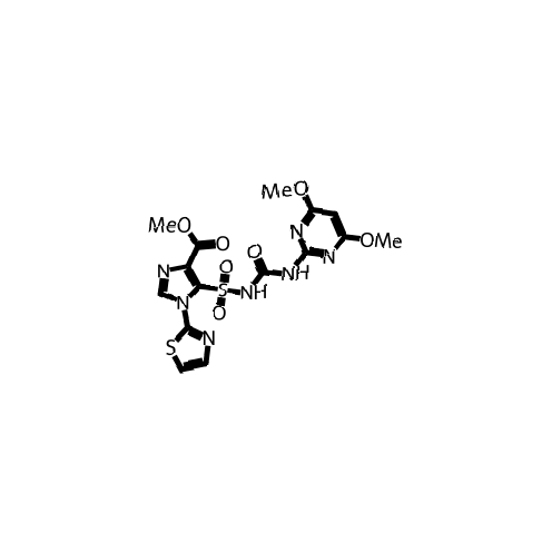 COC(=O)c1ncn(-c2nccs2)c1S(=O)(=O)NC(=O)Nc1nc(OC)cc(OC)n1